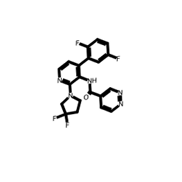 O=C(Nc1c(-c2cc(F)ccc2F)ccnc1N1CCC(F)(F)C1)c1ccnnc1